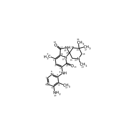 Cc1cc(Nc2ncnc(N)c2C)c(=O)n2c1C(=O)NC21CN(C)CC(C)(C)C1